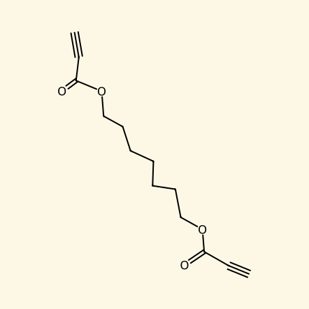 C#CC(=O)OCCCCCCCOC(=O)C#C